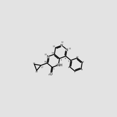 O=c1[nH]c2c(-c3ccccc3)nncc2nc1C1CC1